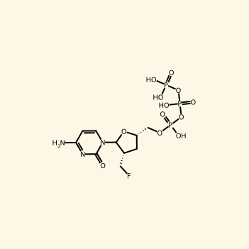 Nc1ccn(C2O[C@H](COP(=O)(O)OP(=O)(O)OP(=O)(O)O)C[C@@H]2CF)c(=O)n1